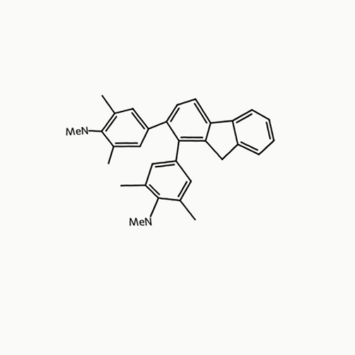 CNc1c(C)cc(-c2ccc3c(c2-c2cc(C)c(NC)c(C)c2)Cc2ccccc2-3)cc1C